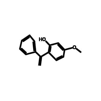 C=C(c1ccccc1)c1ccc(OC)cc1O